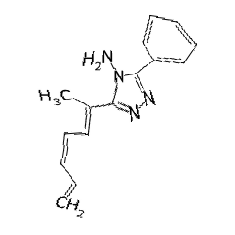 C=C/C=C\C=C(/C)c1nnc(-c2ccccc2)n1N